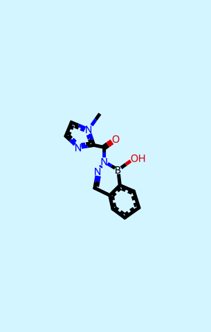 Cn1ccnc1C(=O)N1N=Cc2ccccc2B1O